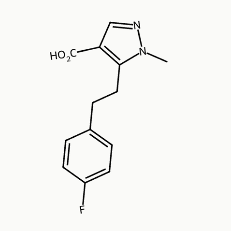 Cn1ncc(C(=O)O)c1CCc1ccc(F)cc1